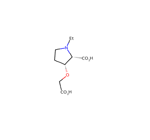 CCN1CC[C@@H](OCC(=O)O)[C@H]1C(=O)O